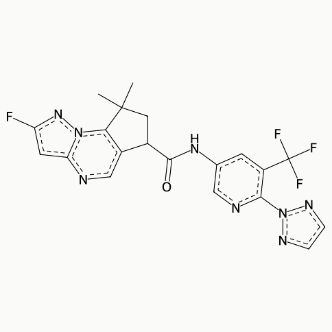 CC1(C)CC(C(=O)Nc2cnc(-n3nccn3)c(C(F)(F)F)c2)c2cnc3cc(F)nn3c21